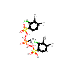 CCc1ccc(S(=O)(=O)OOP(C)(=O)OOS(=O)(=O)c2ccc(CC)c(CC)c2Cl)c(Cl)c1CC